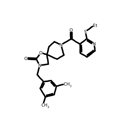 CCSc1ncccc1C(=O)N1CCC2(CC1)CN(Cc1cc(C)cc(C)c1)C(=O)O2